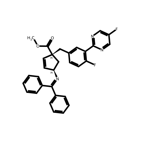 COC(=O)[C@@]1(Cc2ccc(F)c(-c3ncc(F)cn3)c2)C=C[C@H](N=C(c2ccccc2)c2ccccc2)C1